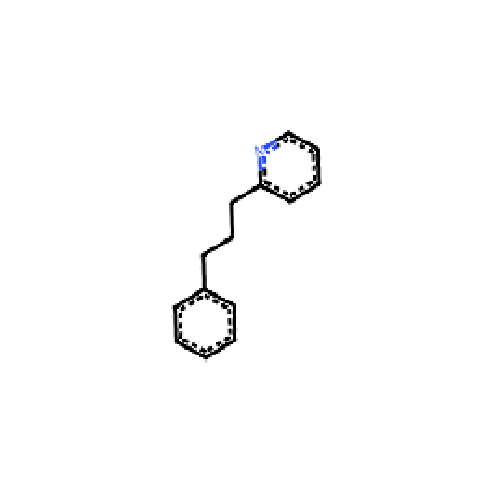 [c]1ccc(CCCc2ccccn2)cc1